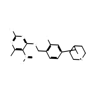 Cc1nc(O)nc(NCc2ccc(C3CN4CCC3CC4)cc2F)c1[N+](=O)[O-]